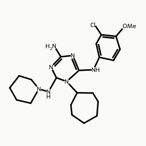 COc1ccc(NC2=NC(N)=NC(NN3CCCCC3)N2C2CCCCCC2)cc1Cl